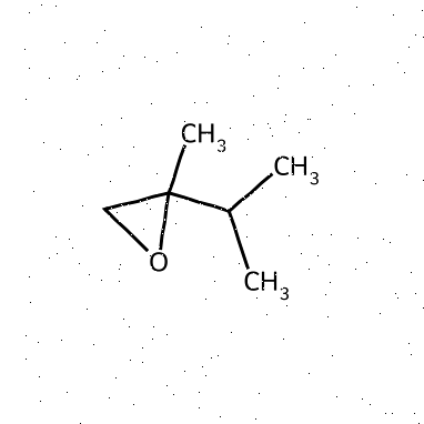 CC(C)C1(C)CO1